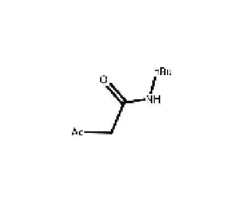 CCCCNC(=O)CC(C)=O